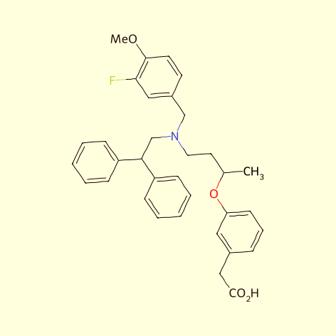 COc1ccc(CN(CCC(C)Oc2cccc(CC(=O)O)c2)CC(c2ccccc2)c2ccccc2)cc1F